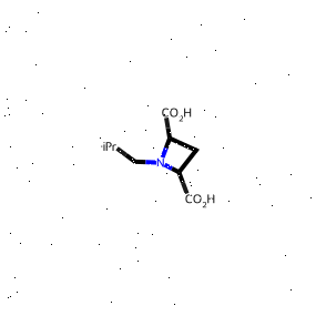 C[C](C)CN1C(C(=O)O)CC1C(=O)O